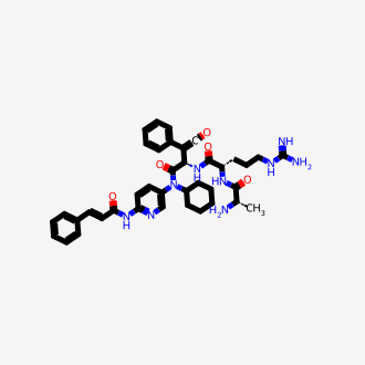 C[C@H](N)C(=O)N[C@@H](CCCNC(=N)N)C(=O)N[C@H](C(=O)N(c1ccc(NC(=O)C=Cc2ccccc2)nc1)C1CCCCC1)C(=C=O)c1ccccc1